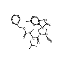 Cc1ccc2c(c1)[C@@]1(C[C@@H](C#N)N(C(=O)[C@H](CC(C)C)N(C)C(=O)OCc3ccccc3)C1)C(=O)N2